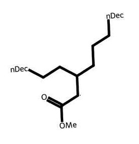 CCCCCCCCCCCCCC([CH]C(=O)OC)CCCCCCCCCCCC